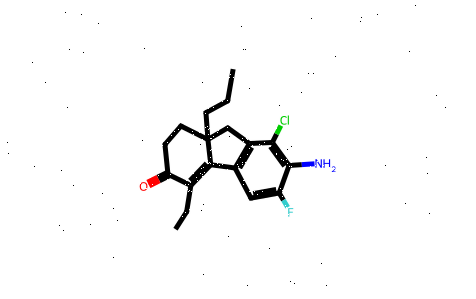 CCCC12CCC(=O)C(CC)=C1c1cc(F)c(N)c(Cl)c1C2